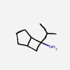 CC(C)C1(N)CC2CCCC21